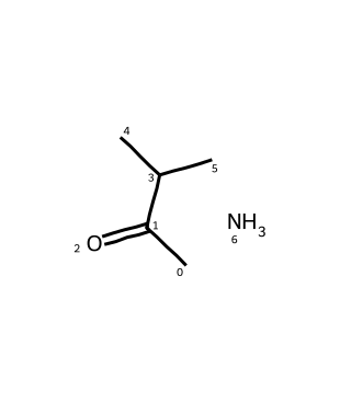 CC(=O)C(C)C.N